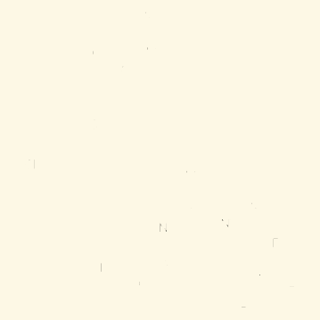 COC(=O)CSc1cc(-n2c(=O)cc(C(F)(F)F)n(C)c2=O)c(F)cc1Cl